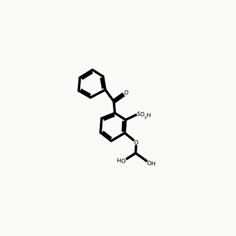 O=C(c1ccccc1)c1cccc(OC(O)O)c1S(=O)(=O)O